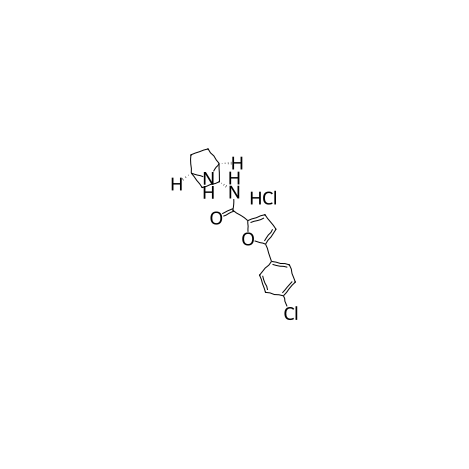 Cl.O=C(N[C@@H]1C[C@H]2CC[C@@H]1N2)c1ccc(-c2ccc(Cl)cc2)o1